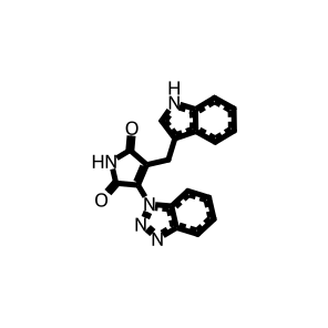 O=C1NC(=O)C(n2nnc3ccccc32)=C1Cc1c[nH]c2ccccc12